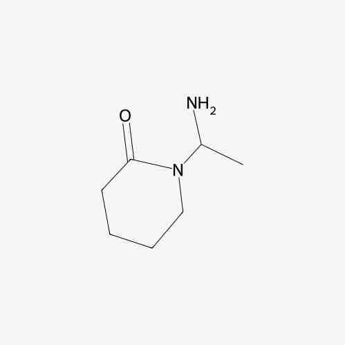 CC(N)N1CCCCC1=O